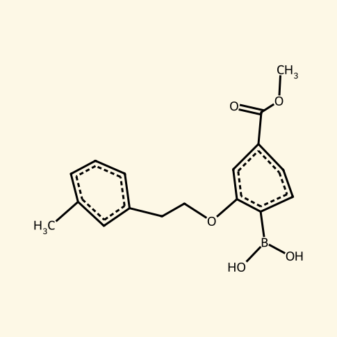 COC(=O)c1ccc(B(O)O)c(OCCc2cccc(C)c2)c1